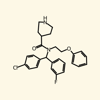 O=C(C1CCNCC1)N(CCOc1ccccc1)C(c1ccc(Cl)cc1)c1cccc(F)c1